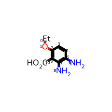 CCOc1ccc(N)c(N)c1C(=O)O